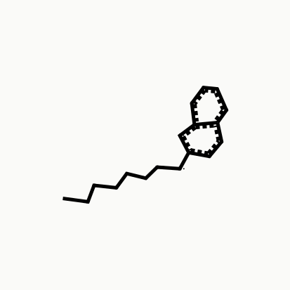 CCCCCCC[CH]c1ccc2ccccc2c1